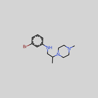 CC(CNc1cccc(Br)c1)N1CCN(C)CC1